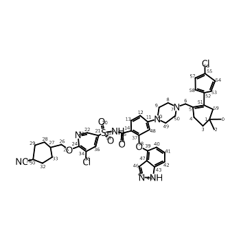 CC1(C)CCC(CN2CCN(c3ccc(C(=O)NS(=O)(=O)c4cnc(OCC5CCC(C#N)CC5)c(Cl)c4)c(Oc4cccc5[nH]ncc45)c3)CC2)=C(c2ccc(Cl)cc2)C1